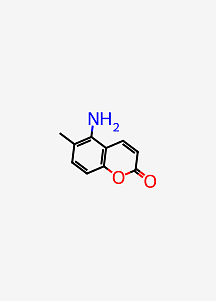 Cc1ccc2oc(=O)ccc2c1N